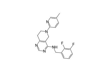 Cc1ccc(N2CCc3ncnc(NCc4cccc(F)c4F)c3C2)nc1